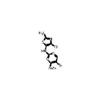 COc1nc(Nc2sc(C)nc2Cl)ncc1Br